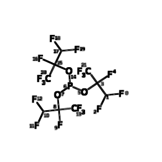 FC(F)C(F)(OP(OC(F)(C(F)F)C(F)(F)F)OC(F)(C(F)F)C(F)(F)F)C(F)(F)F